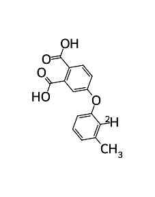 [2H]c1c(C)cccc1Oc1ccc(C(=O)O)c(C(=O)O)c1